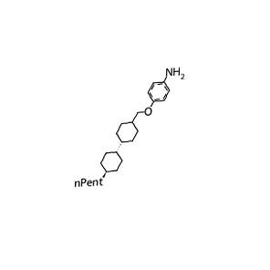 CCCCC[C@H]1CC[C@H](C2CCC(COc3ccc(N)cc3)CC2)CC1